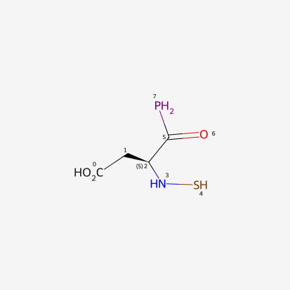 O=C(O)C[C@H](NS)C(=O)P